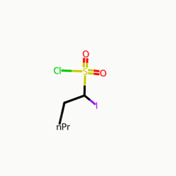 CCCCC(I)S(=O)(=O)Cl